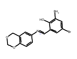 Bc1cc(Br)cc(/C=N/c2ccc3c(c2)COCO3)c1O